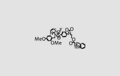 COc1ccc(CN(c2nccs2)S(=O)(=O)c2ccc3c(oc(=O)n3CCOC(=O)N(Cc3ccccc3)C(C)(C)C)c2F)c(OC)c1